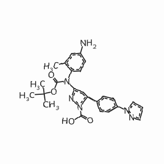 Cc1cc(N)ccc1N(C(=O)OC(C)(C)C)c1cc(-c2ccc(-n3cccn3)cc2)n(C(=O)O)n1